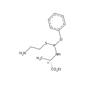 CCOC(=O)[C@H](C)NP(Oc1ccccc1)SCCN